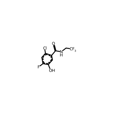 O=C(NCC(F)(F)F)c1cc(O)c(F)cc1Cl